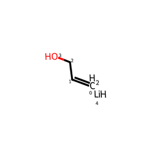 C=CCO.[LiH]